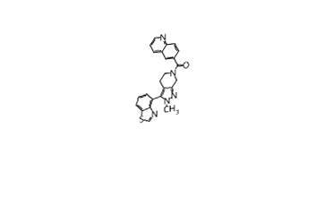 Cn1nc2c(c1-c1cccc3scnc13)CCN(C(=O)c1ccc3ncccc3c1)C2